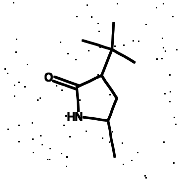 CC1CC(C(C)(C)C)C(=O)N1